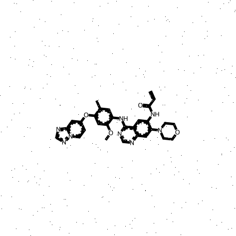 C=CC(=O)Nc1cc2c(Nc3cc(C)c(Oc4ccn5ncnc5c4)cc3OC)ncnc2cc1N1CCOCC1